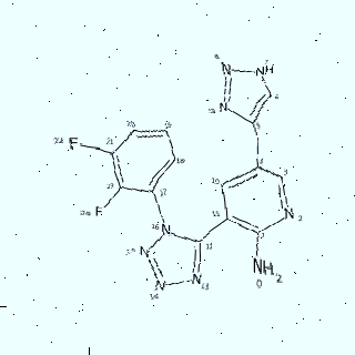 Nc1ncc(-c2c[nH]nn2)cc1-c1nnnn1-c1cccc(F)c1F